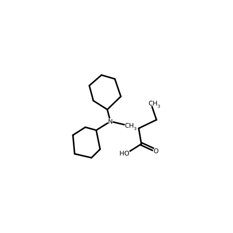 CCCC(=O)O.CN(C1CCCCC1)C1CCCCC1